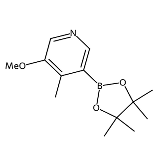 COc1cncc(B2OC(C)(C)C(C)(C)O2)c1C